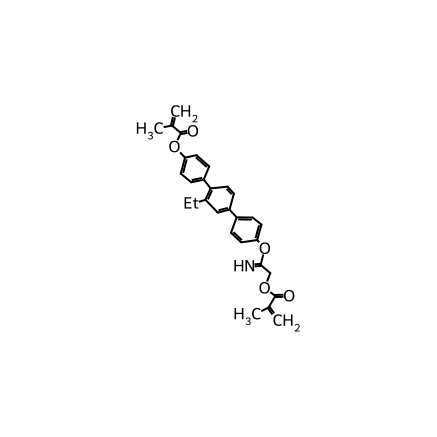 C=C(C)C(=O)OCC(=N)Oc1ccc(-c2ccc(-c3ccc(OC(=O)C(=C)C)cc3)c(CC)c2)cc1